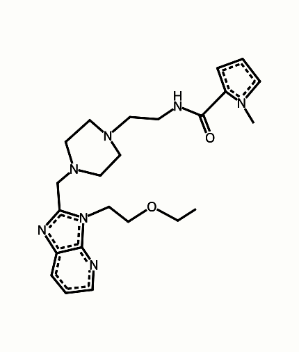 CCOCCn1c(CN2CCN(CCNC(=O)c3cccn3C)CC2)nc2cccnc21